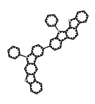 c1ccc(-n2c3ccc(-c4ccc5c6ccc7c8ccccc8oc7c6n(-c6ccccc6)c5c4)cc3c3cc4c(cc32)sc2ccccc24)cc1